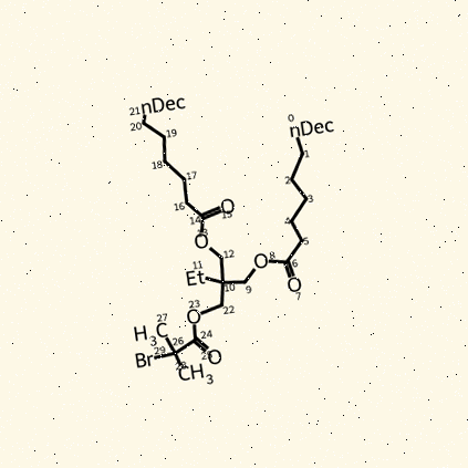 CCCCCCCCCCCCCCCC(=O)OCC(CC)(COC(=O)CCCCCCCCCCCCCCC)COC(=O)C(C)(C)Br